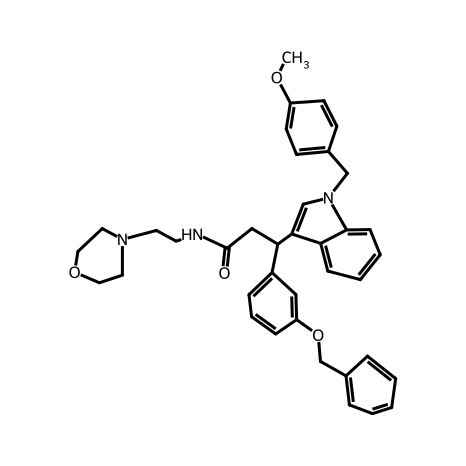 COc1ccc(Cn2cc(C(CC(=O)NCCN3CCOCC3)c3cccc(OCc4ccccc4)c3)c3ccccc32)cc1